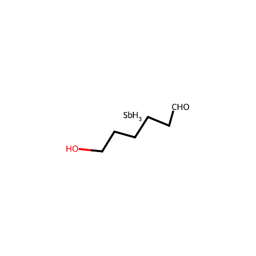 O=CCCCCCO.[SbH3]